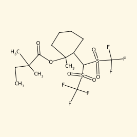 CCC(C)(C)C(=O)OC1(C)CCCCC1C(S(=O)(=O)C(F)(F)F)S(=O)(=O)C(F)(F)F